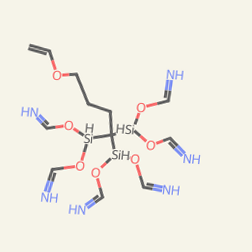 C=COCCCC([SiH](OC=N)OC=N)([SiH](OC=N)OC=N)[SiH](OC=N)OC=N